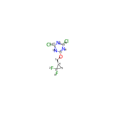 FC1(F)C[C@@H]1COc1nc(Cl)nc(Cl)n1